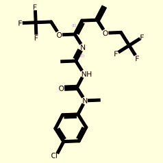 C=C(/C=C(\N=C(/C)NC(=O)N(C)c1ccc(Cl)cc1)OCC(F)(F)F)OCC(F)(F)F